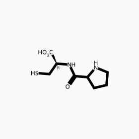 O=C(N[C@@H](CS)C(=O)O)C1CCCN1